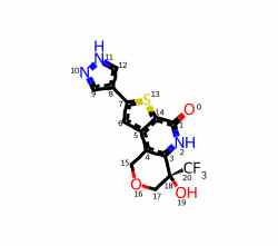 O=c1[nH]c2c(c3cc(-c4cn[nH]c4)sc13)COC[C@]2(O)C(F)(F)F